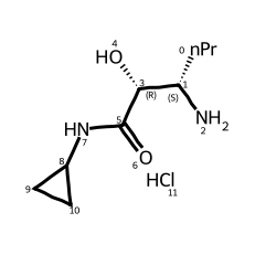 CCC[C@H](N)[C@@H](O)C(=O)NC1CC1.Cl